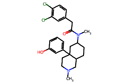 CN1CCC2(c3cccc(O)c3)CC(N(C)C(=O)Cc3ccc(Cl)c(Cl)c3)CCC2C1